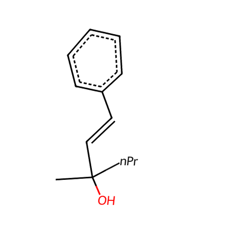 CCCC(C)(O)C=Cc1ccccc1